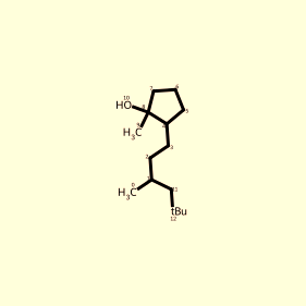 CC(CCC1CCCC1(C)O)CC(C)(C)C